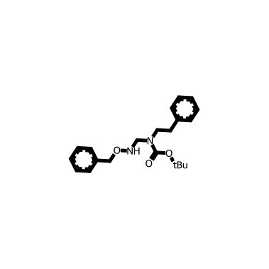 CC(C)(C)OC(=O)N(CCc1ccccc1)CNOCc1ccccc1